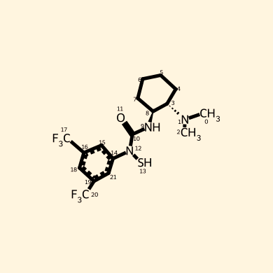 CN(C)[C@H]1CCCC[C@@H]1NC(=O)N(S)c1cc(C(F)(F)F)cc(C(F)(F)F)c1